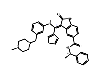 C[C@@H](NC(=O)c1ccc2c(c1)/C(=C(/Nc1cccc(CN3CCN(C)CC3)c1)c1ccsc1)C(=O)N2)c1ccccc1